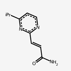 CC(C)c1ccnc(/C=C/C(N)=O)n1